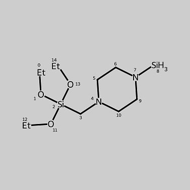 CCO[Si](CN1CCN([SiH3])CC1)(OCC)OCC